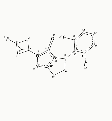 O=c1n(C23CC(F)(C2)C3)nc2n1[C@H](c1c(F)cccc1F)CC2